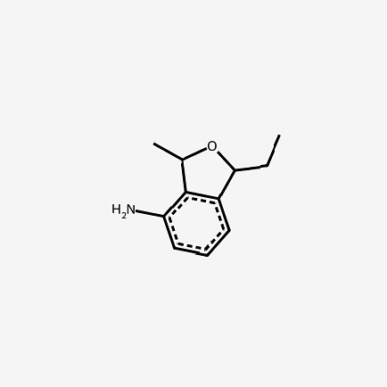 CCC1OC(C)c2c(N)cccc21